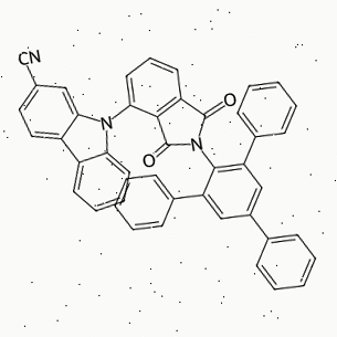 N#Cc1ccc2c3ccccc3n(-c3cccc4c3C(=O)N(c3c(-c5ccccc5)cc(-c5ccccc5)cc3-c3ccccc3)C4=O)c2c1